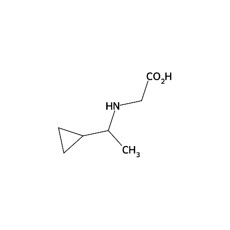 CC(NCC(=O)O)C1CC1